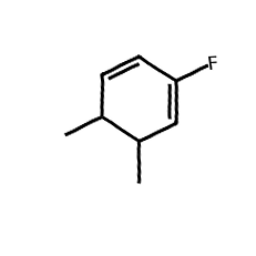 CC1C=CC(F)=CC1C